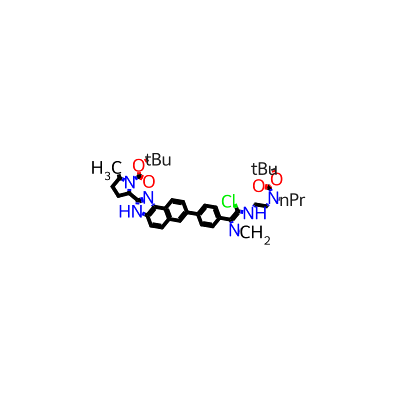 C=N/C(=C(/Cl)NCCN(CCC)C(=O)OC(C)(C)C)c1ccc(-c2ccc3c(ccc4[nH]c(C5CCC(C)N5C(=O)OC(C)(C)C)nc43)c2)cc1